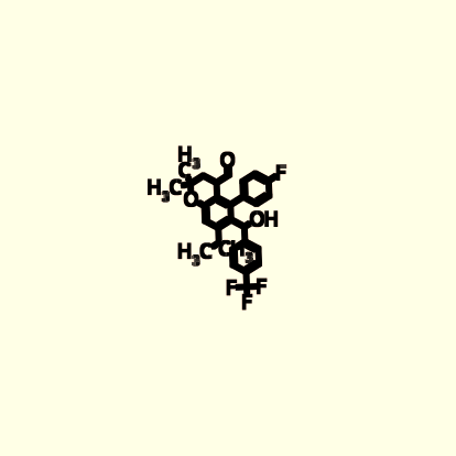 CC(C)c1cc2c(c(-c3ccc(F)cc3)c1C(O)c1ccc(C(F)(F)F)cc1)C(C=O)CC(C)(C)O2